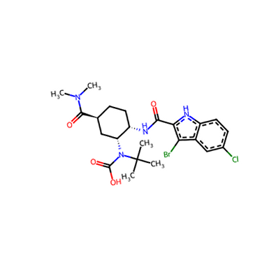 CN(C)C(=O)[C@H]1CC[C@H](NC(=O)c2[nH]c3ccc(Cl)cc3c2Br)[C@H](N(C(=O)O)C(C)(C)C)C1